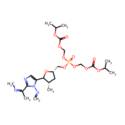 C=Nn1c(C2O[C@H](COP(=O)(OCOC(=O)OC(C)C)OCOC(=O)OC(C)C)C[C@@H]2C)cnc1/C(C)=N\C